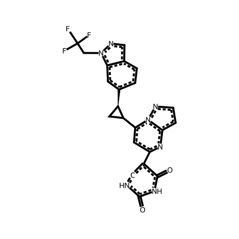 O=c1[nH]cc(-c2cc(C3C[C@H]3c3ccc4cnn(CC(F)(F)F)c4c3)n3nccc3n2)c(=O)[nH]1